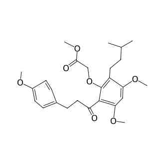 COC(=O)COc1c(CCC(C)C)c(OC)cc(OC)c1C(=O)CCc1ccc(OC)cc1